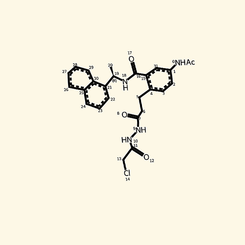 CC(=O)Nc1ccc(CCC(=O)NNC(=O)CCl)c(C(=O)N[C@H](C)c2cccc3ccccc23)c1